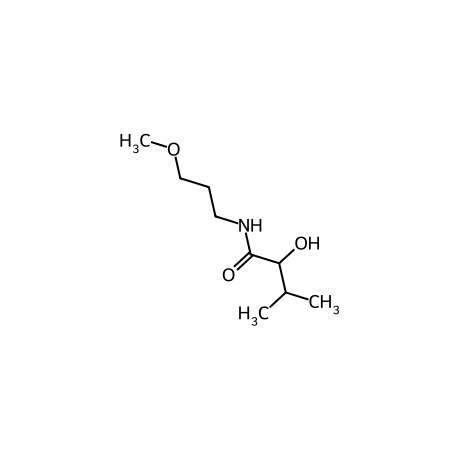 COCCCNC(=O)C(O)C(C)C